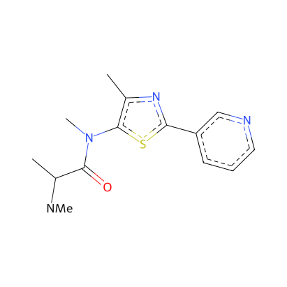 CNC(C)C(=O)N(C)c1sc(-c2cccnc2)nc1C